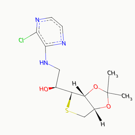 CC1(C)O[C@H]2[C@H]([C@@H](O)CNc3nccnc3Cl)SC[C@H]2O1